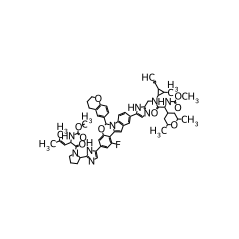 C#CC1C(C)C1N(Cc1ncc(-c2ccc3c(c2)cc2n3C(c3ccc4c(c3)CCCO4)Oc3cc(-c4cnc(C5CCCN5C(=O)C(C=C(C)C)NC(=O)OC)[nH]4)cc(F)c3-2)[nH]1)C(=O)C(NC(=O)OC)C1CC(C)OC(C)C1